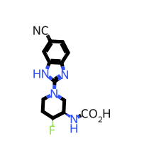 N#Cc1ccc2nc(N3CC[C@@H](F)[C@H](NC(=O)O)C3)[nH]c2c1